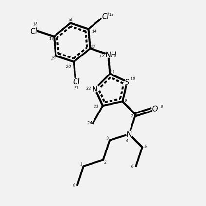 CCCCN(CC)C(=O)c1sc(Nc2c(Cl)cc(Cl)cc2Cl)nc1C